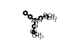 CC1(C)COC(c2ccc(-c3cc(-c4ccc(-c5ccccc5)cc4)nc(-c4ccc(C5=NC(C)(C)CO5)cn4)n3)nc2)=N1